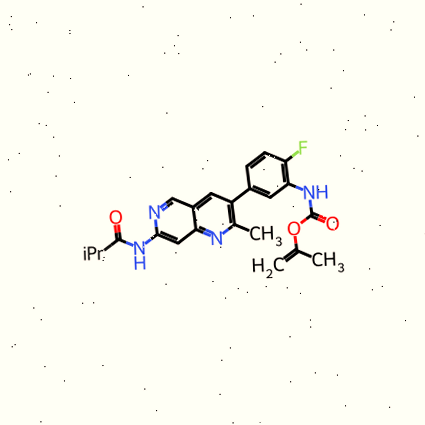 C=C(C)OC(=O)Nc1cc(-c2cc3cnc(NC(=O)C(C)C)cc3nc2C)ccc1F